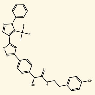 O=C(NCCc1ccc(O)cc1)[C@@H](O)c1ccc(-c2noc(-c3cnn(-c4ccccc4)c3C(F)(F)F)n2)cc1